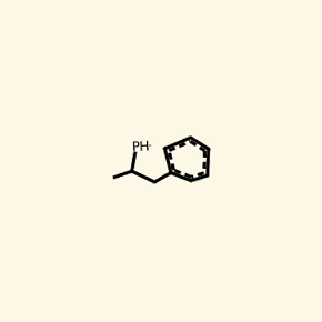 CC([PH])Cc1ccccc1